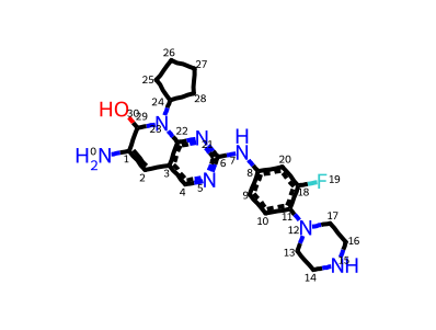 NC1=Cc2cnc(Nc3ccc(N4CCNCC4)c(F)c3)nc2N(C2CCCC2)C1O